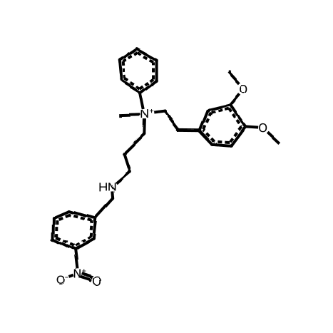 COc1ccc(CC[N+](C)(CCCNCc2cccc([N+](=O)[O-])c2)c2ccccc2)cc1OC